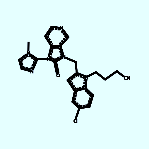 Cn1ccnc1-n1c(=O)n(Cc2cc3cc(Cl)ccc3n2CCCC#N)c2cnccc21